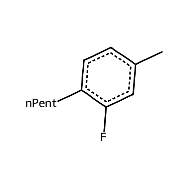 CC[CH]CCc1ccc(C)cc1F